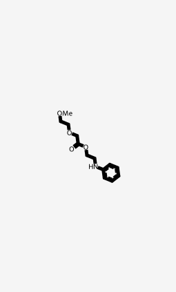 COCCOCC(=O)OCCNc1ccccc1